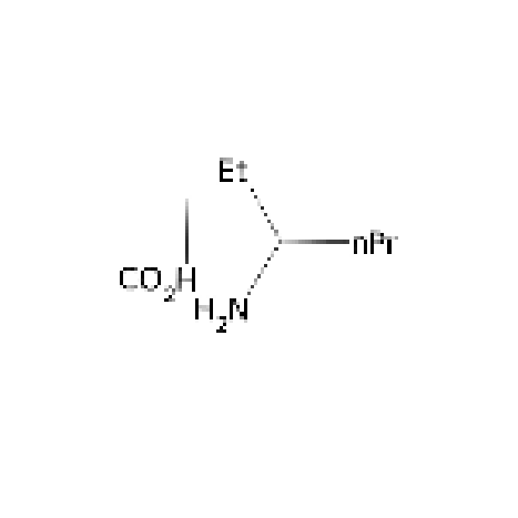 CC(=O)O.CCCC(N)CC